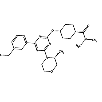 C[C@H]1COCCN1c1nc(O[C@H]2CC[C@H](C(=O)N(C)C)CC2)nc(-c2cccc(CO)c2)n1